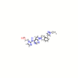 CN(Cc1cccc(-c2cnn(C)c2)c1)n1ccc2c(Nc3nccn3CCO)ncnc21